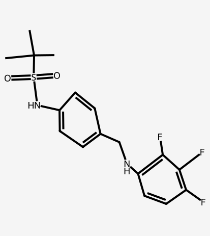 CC(C)(C)S(=O)(=O)Nc1ccc(CNc2ccc(F)c(F)c2F)cc1